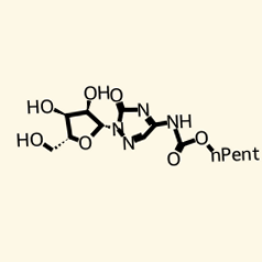 CCCCCOC(=O)Nc1cnn([C@@H]2O[C@H](CO)[C@@H](O)[C@H]2O)c(=O)n1